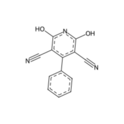 N#Cc1c(O)nc(O)c(C#N)c1-c1ccccc1